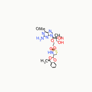 COc1nc(N)nc2c1ncn2[C@H](OCCO[P@]1(=O)NC(C(=O)O[C@H](C)c2ccccc2)CS1)[C@](C)(O)CO